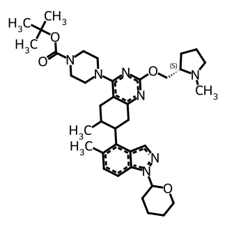 Cc1ccc2c(cnn2C2CCCCO2)c1C1Cc2nc(OC[C@@H]3CCCN3C)nc(N3CCN(C(=O)OC(C)(C)C)CC3)c2CC1C